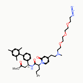 COC(=O)C[C@H](NC(=O)C(CCC(C)C)n1ccc(CCN(C)CCOCCOCCOCCN=[N+]=[N-])cc1=O)c1cccc(-c2c(C)cc(C)cc2C)c1